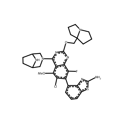 COc1c(Cl)c(-c2cccc3sc(N)nc23)c(F)c2nc(OCC34CCCN3CCC4)nc(N3CC4CCC(C3)N4)c12